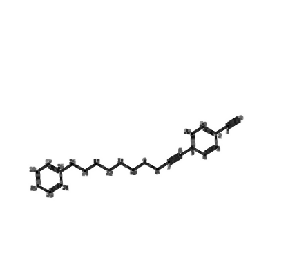 C#Cc1ccc(C#CCCCCCCCCc2ccccc2)cc1